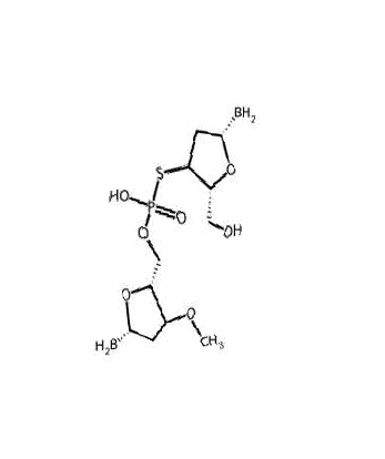 B[C@H]1CC(OC)[C@@H](COP(=O)(O)SC2C[C@H](B)O[C@@H]2CO)O1